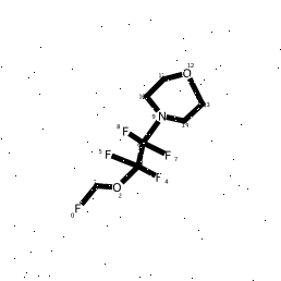 FCOC(F)(F)C(F)(F)N1CCOCC1